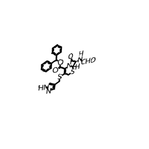 O=CN[C@@H]1C(=O)N2C(C(=O)OC(c3ccccc3)c3ccccc3)=C(SCc3cn[nH]c3)CS[C@@H]12